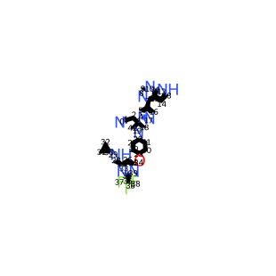 N#CCC1(n2cc(-c3ncnc4[nH]ccc34)cn2)CN(C2CCC(Oc3cc(CNC4CC4)nc(C(F)(F)F)n3)CC2)C1